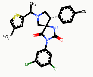 CC(c1cc(C(=O)O)cs1)N1C[C@H](c2ccc(C#N)cc2)[C@]2(C1)NC(=O)N(c1cc(Cl)cc(Cl)c1)C2=O